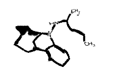 CCCC(C)Nn1c2ccccc2c2ccccc21